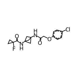 O=C(COc1ccc(Cl)cc1)NC12CC(NC(=O)C3(F)CC3)(C1)C2